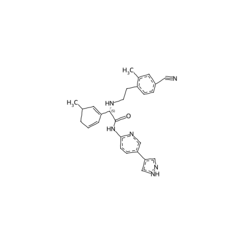 Cc1cc(C#N)ccc1CCN[C@H](C(=O)Nc1ccc(-c2cn[nH]c2)cn1)C1=CC(C)CC=C1